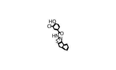 O=C(Nc1nc2c(s1)Cc1ccccc1-2)c1ccc(O)c(Cl)c1